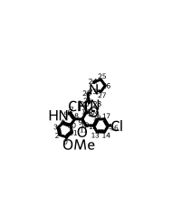 COc1ccc2[nH]c(C)c(C(C(=O)c3ccc(Cl)cc3)c3nc(CN4CCCC4)no3)c2c1